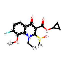 CCn1c([S+](C)[O-])c(C(=O)OC2CC2)c(=O)c2ccc(F)c(OC)c21